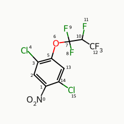 O=[N+]([O-])c1cc(Cl)c(OC(F)(F)C(F)C(F)(F)F)cc1Cl